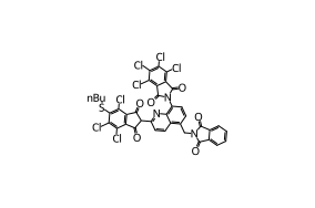 CCCCSc1c(Cl)c(Cl)c2c(c1Cl)C(=O)C(c1ccc3c(CN4C(=O)c5ccccc5C4=O)ccc(N4C(=O)c5c(Cl)c(Cl)c(Cl)c(Cl)c5C4=O)c3n1)C2=O